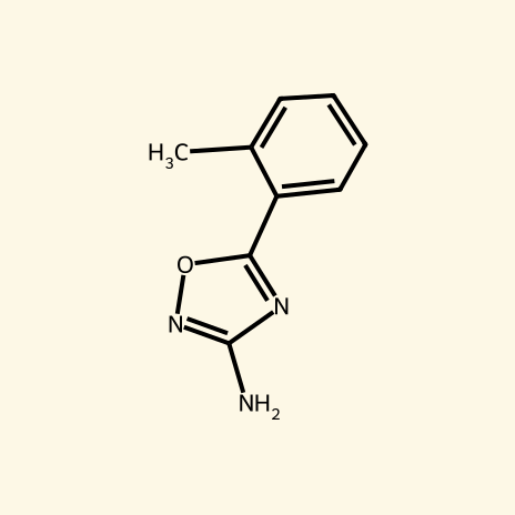 Cc1ccccc1-c1nc(N)no1